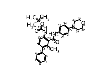 Cc1c(-c2ccccc2)ccc(NC(=O)OC(C)(C)C)c1C(=O)Nc1ccc(N2CCOCC2)cc1